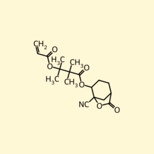 C=CC(=O)OC(C)(C)C(C)(C)C(=O)OC1CCC2CC1(C#N)OC2=O